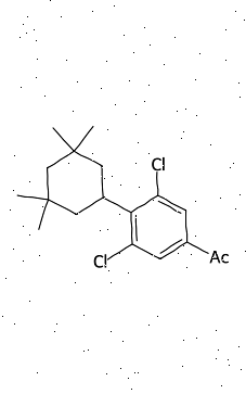 CC(=O)c1cc(Cl)c(C2CC(C)(C)CC(C)(C)C2)c(Cl)c1